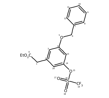 CCOC(=O)Cc1cc(OCc2ccccc2)cc(OS(=O)(=O)C(F)(F)F)c1